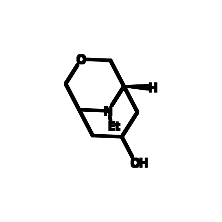 CCN1C2COC[C@@H]1CC(O)C2